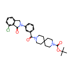 CC(C)(C)OC(=O)N1CCC2(CC1)CCN(C(=O)c1cccc(N3Cc4cccc(Cl)c4C3=O)c1)CC2